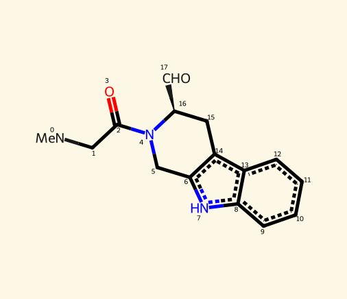 CNCC(=O)N1Cc2[nH]c3ccccc3c2C[C@@H]1C=O